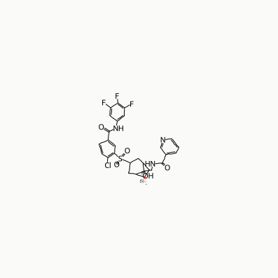 C[C@H]1CC2CC(S(=O)(=O)c3cc(C(=O)Nc4cc(F)c(F)c(F)c4)ccc3Cl)CC1[C@@]2(O)CNC(=O)c1cccnc1